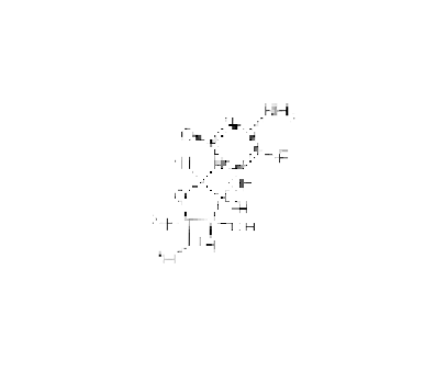 [2H]C[C@@]1([2H])O[C@@]([2H])(n2cc(F)c(N)nc2=O)[C@]([2H])(O)[C@]1([2H])O